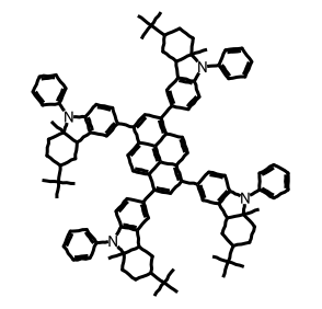 CC(C)(C)C1CCC2(C)C(C1)c1cc(-c3cc(-c4ccc5c(c4)C4CC(C(C)(C)C)CCC4(C)N5c4ccccc4)c4ccc5c(-c6ccc7c(c6)C6CC(C(C)(C)C)CCC6(C)N7c6ccccc6)cc(-c6ccc7c(c6)C6CC(C(C)(C)C)CCC6(C)N7c6ccccc6)c6ccc3c4c65)ccc1N2c1ccccc1